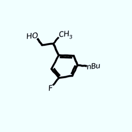 CCCCc1cc(F)cc([C](C)CO)c1